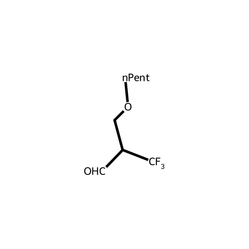 CCCCCOCC(C=O)C(F)(F)F